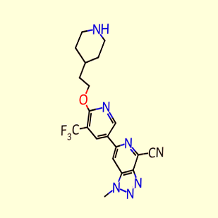 Cn1nnc2c(C#N)nc(-c3cnc(OCCC4CCNCC4)c(C(F)(F)F)c3)cc21